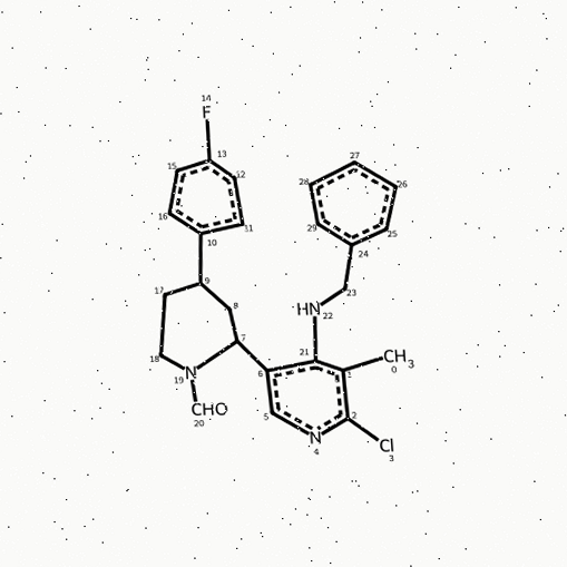 Cc1c(Cl)ncc(C2CC(c3ccc(F)cc3)CCN2C=O)c1NCc1ccccc1